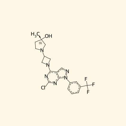 C[C@]1(O)CCN(C2CN(c3nc(Cl)nc4c3cnn4-c3cccc(C(F)(F)F)c3)C2)C1